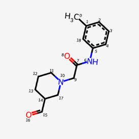 Cc1cccc(NC(=O)CN2CCCC(C=O)C2)c1